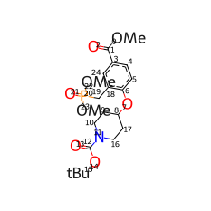 COC(=O)c1ccc(OC2CCN(C(=O)OC(C)(C)C)CC2)c(CP(=O)(OC)OC)c1